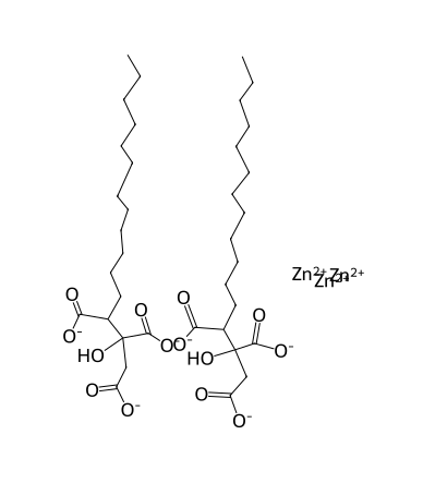 CCCCCCCCCCCCC(C(=O)[O-])C(O)(CC(=O)[O-])C(=O)[O-].CCCCCCCCCCCCC(C(=O)[O-])C(O)(CC(=O)[O-])C(=O)[O-].[Zn+2].[Zn+2].[Zn+2]